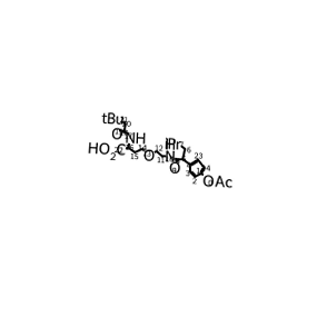 CC(=O)Oc1ccc(C(CC(C)C)C(=O)NCCOCCC(NC(=O)CC(C)(C)C)C(=O)O)cc1